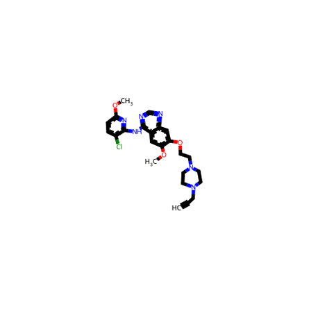 C#CCN1CCN(CCOc2cc3ncnc(Nc4nc(OC)ccc4Cl)c3cc2OC)CC1